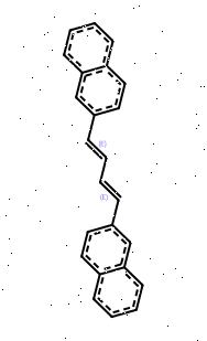 C(/C=C/c1ccc2ccccc2c1)=C\c1ccc2ccccc2c1